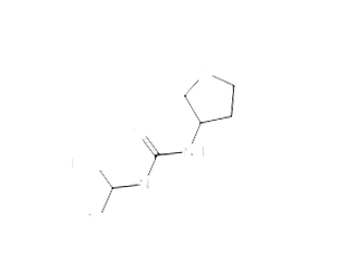 CC(=O)C(C)NC(=O)NC1CCOC1